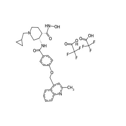 Cc1cc(COc2ccc(C(=O)N[C@@H]3CN(CC4CC4)CC[C@@H]3C(=O)NO)cc2)c2ccccc2n1.O=C(O)C(F)(F)F.O=C(O)C(F)(F)F